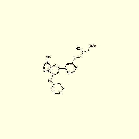 CNCC(O)COc1cccc(-c2cc(NC3CCOCC3)n3ncc(C(C)(C)C)c3n2)c1